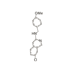 COc1ccc(CNc2cc3ccc(Cl)cc3cn2)cc1